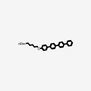 CCCCCCCCCCCCCCCOc1ccc(-c2ccc(-c3ccc(-c4ccccc4)cc3)cc2)cc1